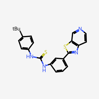 CC(C)(C)c1ccc(NC(=S)Nc2cccc(-c3nc4ccncc4s3)c2)cc1